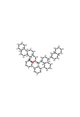 c1ccc(-c2ccccc2N(c2ccc3c(ccc4c5ccccc5ccc34)c2)c2ccc(-c3ccc4ccccc4c3)c3ccccc23)cc1